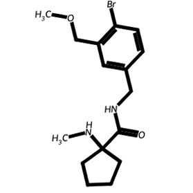 CNC1(C(=O)NCc2ccc(Br)c(COC)c2)CCCC1